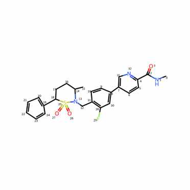 CNC(=O)c1ccc(-c2ccc(CN3C(C)CCC(c4ccccc4)S3(=O)=O)c(F)c2)cn1